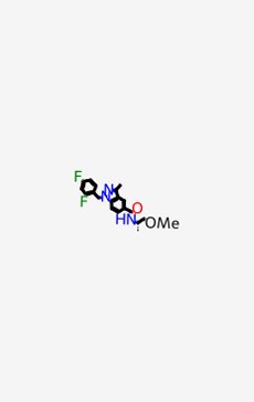 COC[C@H](C)NC(=O)c1ccc2c(c1)c(C)nn2Cc1ccc(F)cc1F